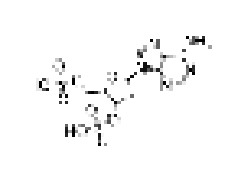 Nc1ncnc2c1ncn2[C@H]1C[C@H](OS(=O)(=O)O)[C@@H](COS(=O)(=O)O)O1